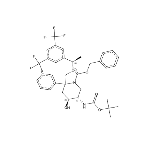 C[C@@H](OCC1(c2ccccc2)C[C@H](O)[C@@H](NC(=O)OC(C)(C)C)CN1C(=O)OCc1ccccc1)c1cc(C(F)(F)F)cc(C(F)(F)F)c1